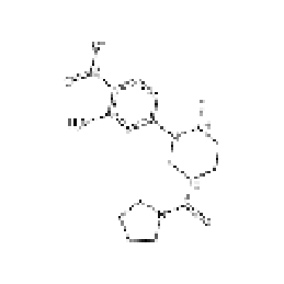 C[C@@H]1CC[C@H](C(=O)N2CCCC2)CN1c1ccc([N+](=O)[O-])c(N)n1